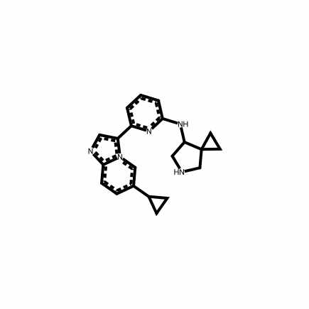 c1cc(NC2CNCC23CC3)nc(-c2cnc3ccc(C4CC4)cn23)c1